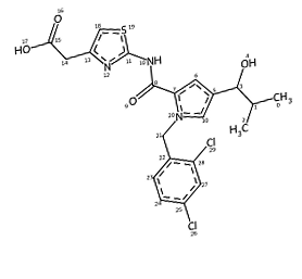 CC(C)C(O)c1cc(C(=O)Nc2nc(CC(=O)O)cs2)n(Cc2ccc(Cl)cc2Cl)c1